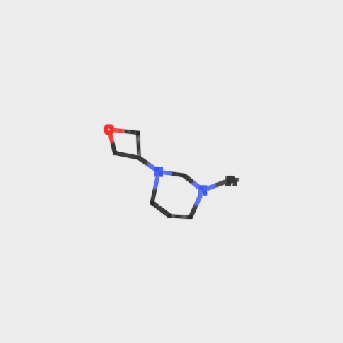 CC(C)N1CCCN(C2COC2)C1